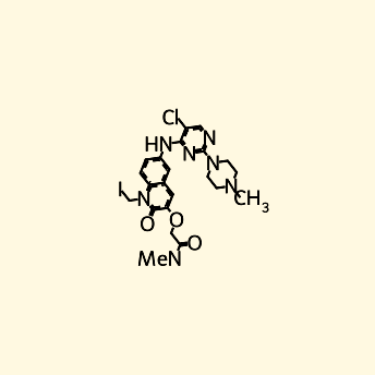 CNC(=O)COc1cc2cc(Nc3nc(N4CCN(C)CC4)ncc3Cl)ccc2n(CI)c1=O